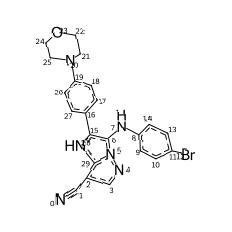 N#Cc1cnn2c(Nc3ccc(Br)cc3)c(-c3ccc(N4CCOCC4)cc3)[nH]c12